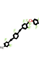 CCCCCc1cc(F)c(C#Cc2ccc(C#Cc3cc(F)c(C(F)(F)Oc4cc(F)c(C(F)(F)F)c(F)c4)c(F)c3)c(F)c2)c(F)c1